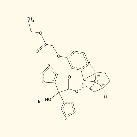 CCOC(=O)COc1cccc(C[N+]2(C)[C@@H]3CC[C@H]2C[C@H](OC(=O)C(O)(c2ccsc2)c2ccsc2)C3)c1.[Br-]